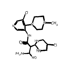 CN1CCN(c2c(Cl)cncc2NC(=O)C(C(N)N=O)C2NCC(Cl)CN2)CC1